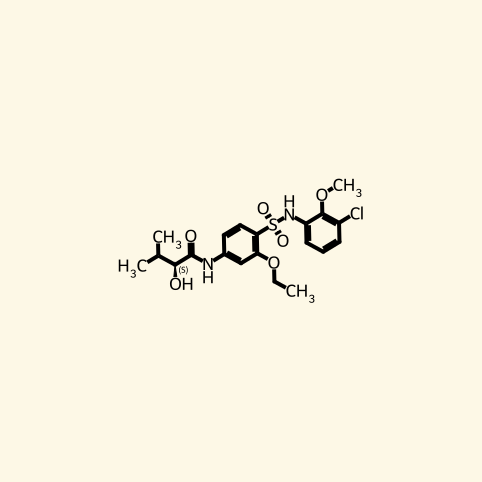 CCOc1cc(NC(=O)[C@@H](O)C(C)C)ccc1S(=O)(=O)Nc1cccc(Cl)c1OC